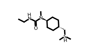 CCNC(=O)N(C)[C@H]1CC[C@H](C[SH](C)C)CC1